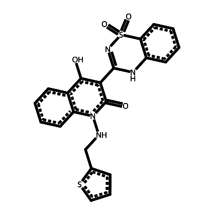 O=c1c(C2=NS(=O)(=O)c3ccccc3N2)c(O)c2ccccc2n1NCc1cccs1